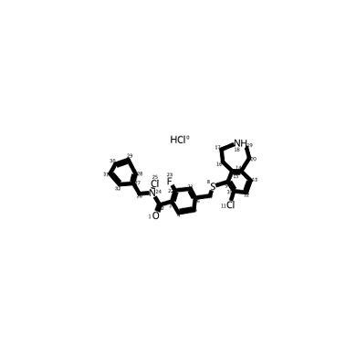 Cl.O=C(c1ccc(CSc2c(Cl)ccc3c2CCNCC3)cc1F)N(Cl)Cc1ccccc1